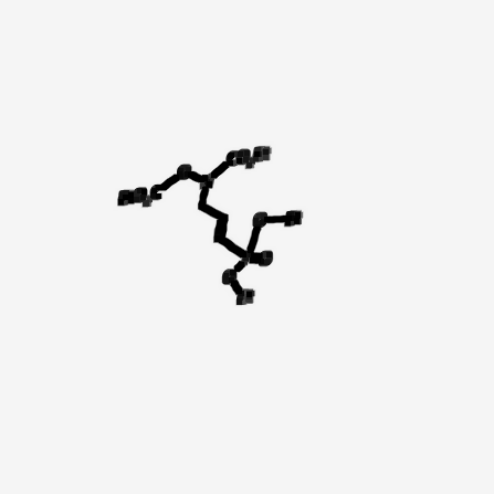 CCOC(=O)ON(CC=CP(=O)(OCC)OCC)C(=O)OCC